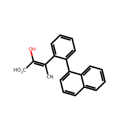 N#CC(=C(O)C(=O)O)c1ccccc1-c1cccc2ccccc12